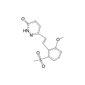 COc1cccc(S(C)(=O)=O)c1/C=C/c1ccc(=O)[nH]n1